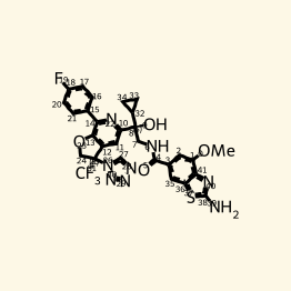 COc1cc(C(=O)NC[C@](O)(c2cc3c(c(-c4ccc(F)cc4)n2)OC[C@@]3(n2cnnn2)C(F)(F)F)C2CC2)cc2sc(N)nc12